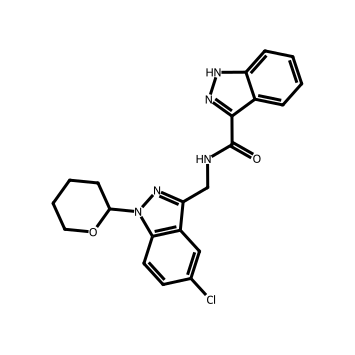 O=C(NCc1nn(C2CCCCO2)c2ccc(Cl)cc12)c1n[nH]c2ccccc12